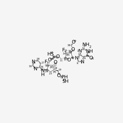 Nc1nc2c(ncn2[C@@H]2O[C@H](COP(=O)(S)O[C@@H]3[C@@H](COPS)C[C@@H](Nc4ccncn4)[C@@H]3F)[C@@H](F)[C@H]2OC=O)c(=O)[nH]1